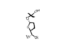 CC[C@@H](O)[C@@H]1CC[C@@H](OC(C)(C)O)O1